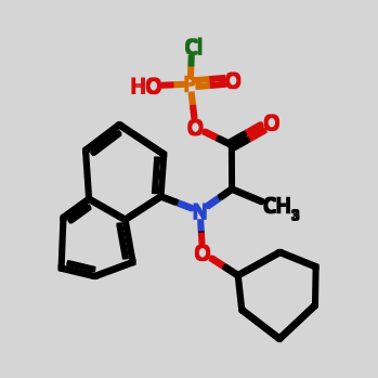 CC(C(=O)OP(=O)(O)Cl)N(OC1CCCCC1)c1cccc2ccccc12